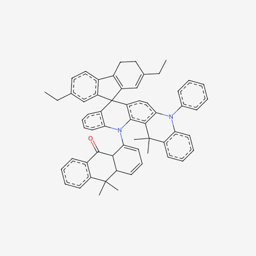 CCC1=CC2=C(CC1)c1ccc(CC)cc1C21c2ccccc2N(C2=CC=CC3C2C(=O)c2ccccc2C3(C)C)c2c1ccc1c2C(C)(C)c2ccccc2N1c1ccccc1